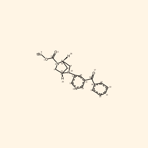 CC(C)(C)OC(=O)N1C[C@@H]2C[C@H]1CN2c1cncc(C(=O)c2ccccc2)c1